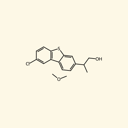 CC(CO)c1ccc2c(c1)sc1ccc(Cl)cc12.COC